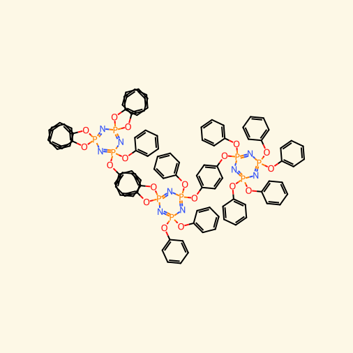 c1ccc(OP2(Oc3ccccc3)=NP(Oc3ccccc3)(Oc3ccccc3)=NP(Oc3ccccc3)(Oc3ccc(OP4(Oc5ccccc5)=NP(Oc5ccccc5)(Oc5ccccc5)=NP(Oc5ccccc5)(Oc5ccc(OP6(Oc7ccccc7)=NP(Oc7ccccc7)(Oc7ccccc7)=NP(Oc7ccccc7)(Oc7ccccc7)=N6)cc5)=N4)cc3)=N2)cc1